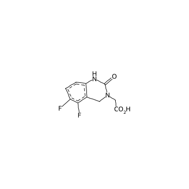 O=C(O)CN1Cc2c(ccc(F)c2F)NC1=O